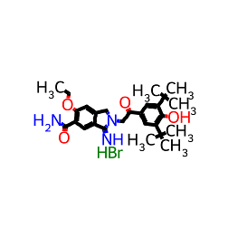 Br.CCOc1cc2c(cc1C(N)=O)C(=N)N(CC(=O)c1cc(C(C)(C)C)c(O)c(C(C)(C)C)c1)C2